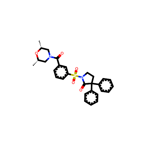 C[C@@H]1CN(C(=O)c2cccc(S(=O)(=O)N3CCC(c4ccccc4)(c4ccccc4)C3=O)c2)C[C@H](C)O1